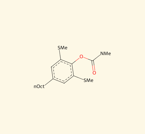 CCCCCCCCc1cc(SC)c(OC(=O)NC)c(SC)c1